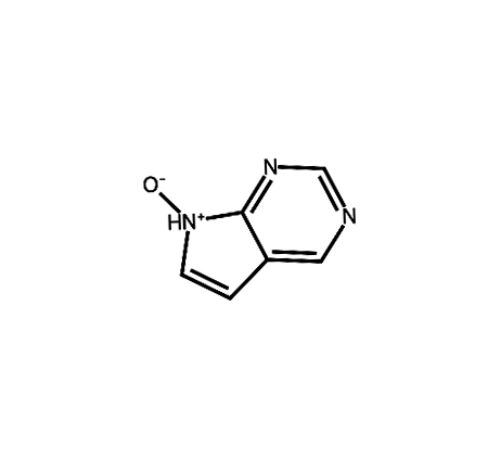 [O-][NH+]1C=Cc2cncnc21